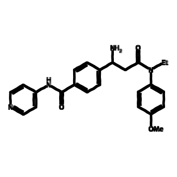 CCN(C(=O)CC(N)c1ccc(C(=O)Nc2ccncc2)cc1)c1ccc(OC)cc1